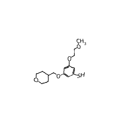 COCCOc1cc(S)cc(OCC2CCOCC2)c1